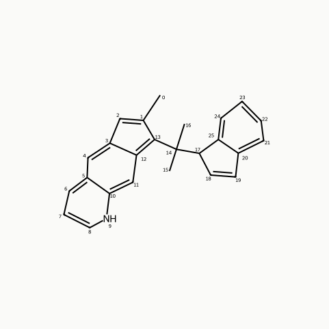 Cc1cc2cc3ccc[nH]c3cc2c1C(C)(C)C1C=Cc2ccccc21